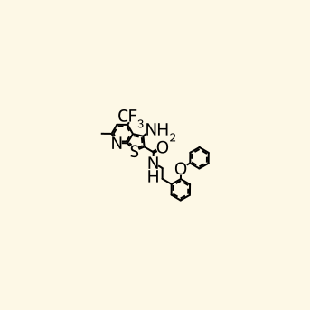 Cc1cc(C(F)(F)F)c2c(N)c(C(=O)NCCc3ccccc3Oc3ccccc3)sc2n1